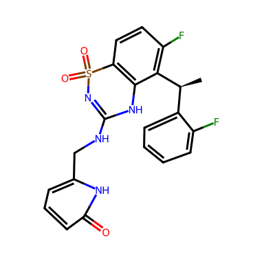 C[C@@H](c1ccccc1F)c1c(F)ccc2c1NC(NCc1cccc(=O)[nH]1)=NS2(=O)=O